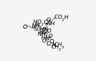 CN(C)c1ccc2c3c(cccc13)C(=O)N(CC[C@@H](NC(=O)[C@@H](N)CC[SiH2]C[C@@H](N)CCc1ccccc1)C(=O)NCC[C@@H](NC(=O)CCCC(=O)O)C(=O)O)C2=O